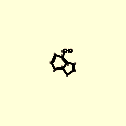 O=Cc1cccc2c1C=CC2